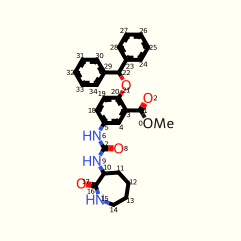 COC(=O)c1cc(NC(=O)NC2CCCCNC2=O)ccc1OC(c1ccccc1)c1ccccc1